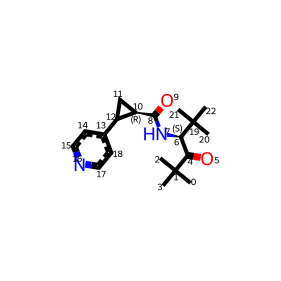 CC(C)(C)C(=O)[C@@H](NC(=O)[C@@H]1CC1c1ccncc1)C(C)(C)C